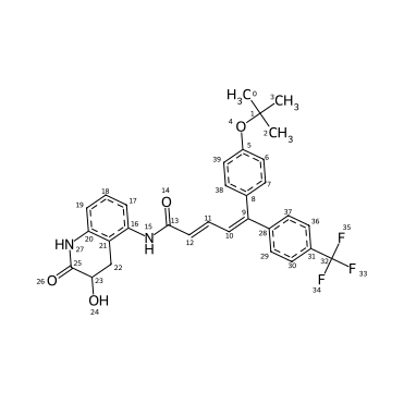 CC(C)(C)Oc1ccc(C(=CC=CC(=O)Nc2cccc3c2CC(O)C(=O)N3)c2ccc(C(F)(F)F)cc2)cc1